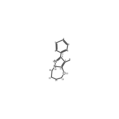 Cc1c(-c2ccccc2)nn2c1OCCCC2